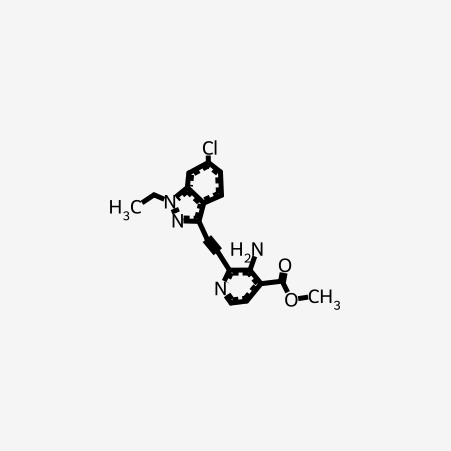 CCn1nc(C#Cc2nccc(C(=O)OC)c2N)c2ccc(Cl)cc21